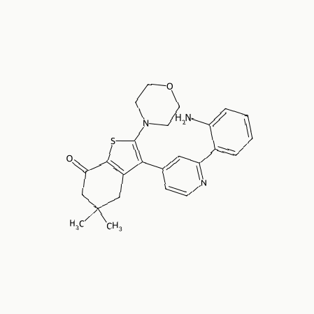 CC1(C)CC(=O)c2sc(N3CCOCC3)c(-c3ccnc(-c4ccccc4N)c3)c2C1